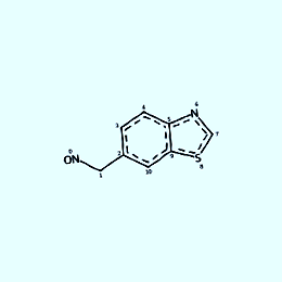 O=NCc1ccc2ncsc2c1